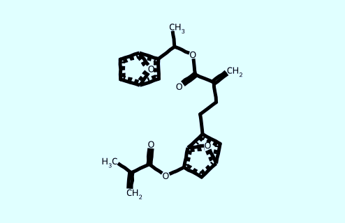 C=C(C)C(=O)Oc1cc2cc(CCC(=C)C(=O)OC(C)c3cc4ccc3o4)c1o2